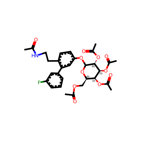 CC(=O)NCCc1ccc(OC2O[C@H](COC(C)=O)[C@H](OC(C)=O)[C@H](OC(C)=O)[C@H]2OC(C)=O)cc1-c1cccc(F)c1